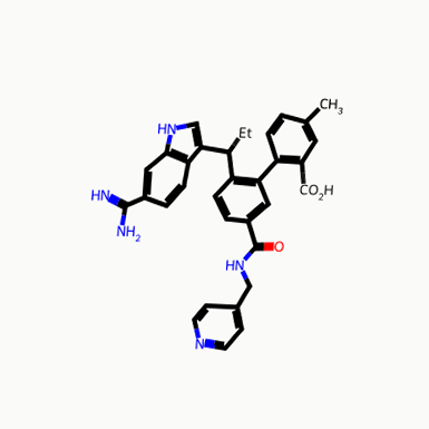 CCC(c1ccc(C(=O)NCc2ccncc2)cc1-c1ccc(C)cc1C(=O)O)c1c[nH]c2cc(C(=N)N)ccc12